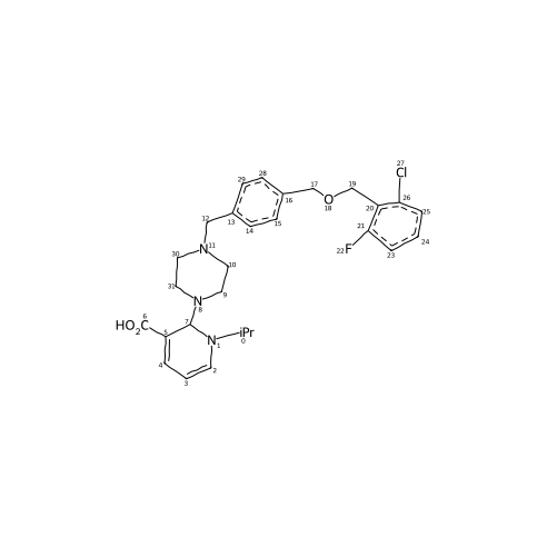 CC(C)N1C=CC=C(C(=O)O)C1N1CCN(Cc2ccc(COCc3c(F)cccc3Cl)cc2)CC1